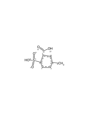 Cc1ccc(S(=O)(=O)O)cc1.O=CO